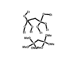 CCO[Si](C[Si](OCC)(OCC)OCC)(OCC)OCC.CO[Si](C[Si](OC)(OC)OC)(OC)OC